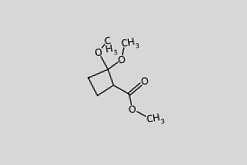 COC(=O)C1CCC1(OC)OC